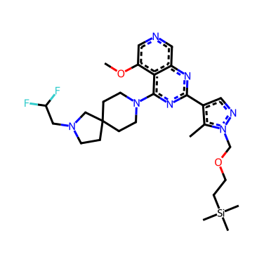 COc1cncc2nc(-c3cnn(COCC[Si](C)(C)C)c3C)nc(N3CCC4(CCN(CC(F)F)C4)CC3)c12